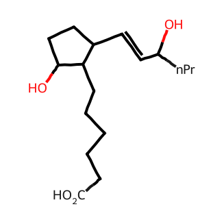 CCCC(O)C=CC1CCC(O)C1CCCCCC(=O)O